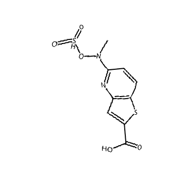 CN(O[SH](=O)=O)c1ccc2sc(C(=O)O)cc2n1